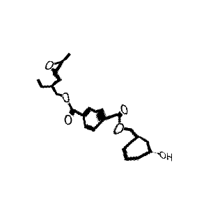 CCC(COC(=O)c1ccc(C(=O)OCC2CCC[C@@H](O)C2)cc1)CC1OC1C